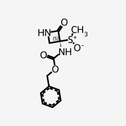 C[S+]([O-])[C@@]1(NC(=O)OCc2ccccc2)CNC1=O